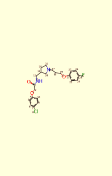 O=C(COc1ccc(Cl)cc1)NCC1CCN(CCCOc2ccc(F)cc2)C1